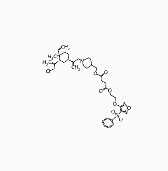 C=C[C@]1(C)CC[C@@H](C(=C)CN2CCC(COC(=O)CCC(=O)OCCOc3nonc3S(=O)(=O)c3ccccc3)CC2)C[C@H]1C(=C)CCl